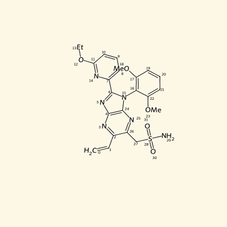 C=Cc1nc2nc(-c3cccc(OCC)n3)n(-c3c(OC)cccc3OC)c2nc1CS(N)(=O)=O